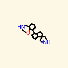 c1cc2c(c(-c3cccc4c3CCC43CCNCC3)c1)OCCNC2